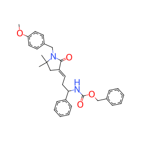 COc1ccc(CN2C(=O)C(=CCC(NC(=O)OCc3ccccc3)c3ccccc3)CC2(C)C)cc1